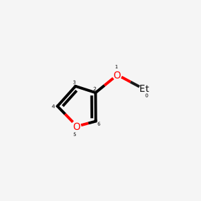 CCOc1ccoc1